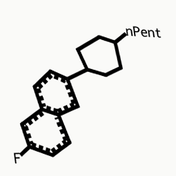 CCCCCC1CCC(c2ccc3cc(F)ccc3c2)CC1